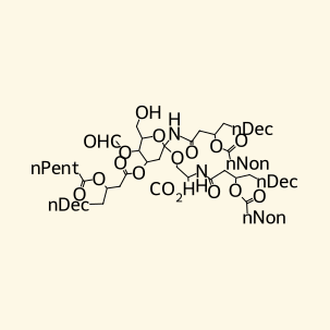 CCCCCCCCCCCC(CC(=O)NC(COC1(NC(=O)CC(CCCCCCCCCCC)OC(=O)CCCCCCCCC)CC(OC(=O)CC(CCCCCCCCCCC)OC(=O)CCCCC)C(OC=O)C(CO)O1)C(=O)O)OC(=O)CCCCCCCCC